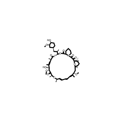 CO[C@H]1C[C@@H]2CC[C@@H](C)[C@@](O)(O2)C(=O)C(=O)N2CCCCC2C(=O)O[C@H]([C@H](C)C[C@@H]2CC[C@@H](O)[C@H](OC)C2)CC(=O)[C@H](C)/C=C(\C)[C@H](O)[C@@H](OC)C(=O)[C@H](C)C[C@H](C)/C=C/C=C/C=C/1C